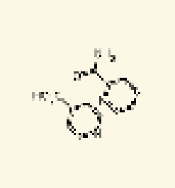 NC(=O)c1cnccn1.O=C(O)c1ccncc1